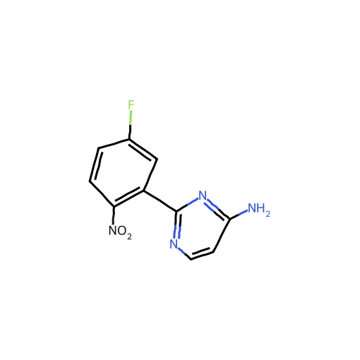 Nc1ccnc(-c2cc(F)ccc2[N+](=O)[O-])n1